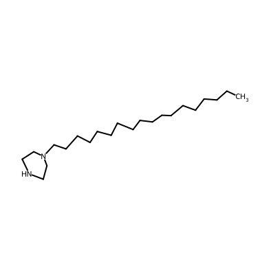 CCCCCCCCCCCCCCCCCCN1CCNCC1